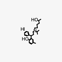 Cc1ccc(O)c(C(CCN(CCCCC(C)O)C(C)C)c2ccccc2)c1.I